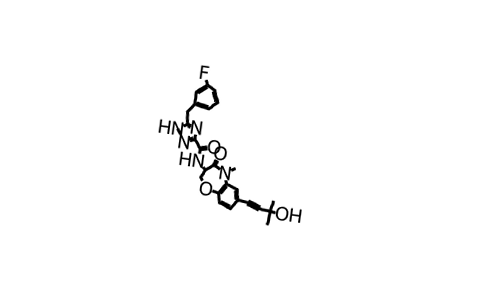 CN1C(=O)C(NC(=O)c2n[nH]c(Cc3cccc(F)c3)n2)COc2ccc(C#CC(C)(C)O)cc21